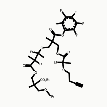 C#CCCOC(C)(CC)C(=O)OCC(C)(COC(C)(CC)C(C)(CC)C(=O)OCC(C)(COC(C)C)C(=O)OCC)C(=O)Oc1c(F)c(F)c(F)c(F)c1F